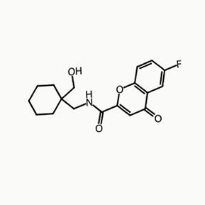 O=C(NCC1(CO)CCCCC1)c1cc(=O)c2cc(F)ccc2o1